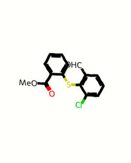 COC(=O)c1ccccc1Sc1c(Cl)cccc1C=O